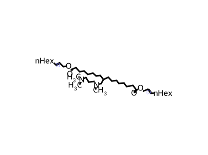 CCCCCC/C=C/COC(=O)CCCCCCCC(CCCCCCCC(=O)OC/C=C/CCCCCC)CN(C)CCCN(C)C